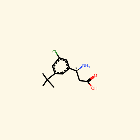 CC(C)(C)c1cc(Cl)cc([C@@H](N)CC(=O)O)c1